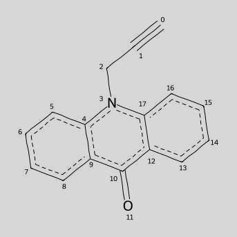 C#CCn1c2ccccc2c(=O)c2ccccc21